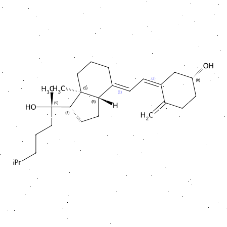 C=C1CC[C@@H](O)C/C1=C/C=C1\CCC[C@@]2(C)[C@H]1CC[C@@H]2[C@@](C)(O)CCCC(C)C